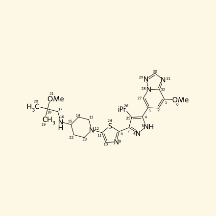 COc1cc(-c2[nH]nc(-c3ncc(N4CCC(NCC(C)(C)OC)CC4)s3)c2C(C)C)cn2ncnc12